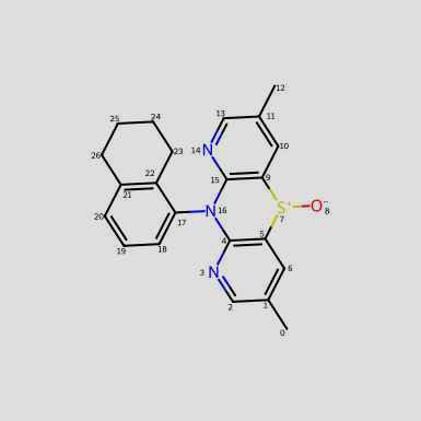 Cc1cnc2c(c1)[S+]([O-])c1cc(C)cnc1N2c1cccc2c1CCCC2